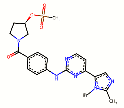 Cc1ncc(-c2ccnc(Nc3ccc(C(=O)N4CC[C@@H](OS(C)(=O)=O)C4)cc3)n2)n1C(C)C